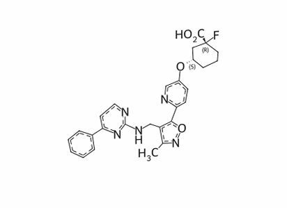 Cc1noc(-c2ccc(O[C@H]3CCC[C@](F)(C(=O)O)C3)cn2)c1CNc1nccc(-c2ccccc2)n1